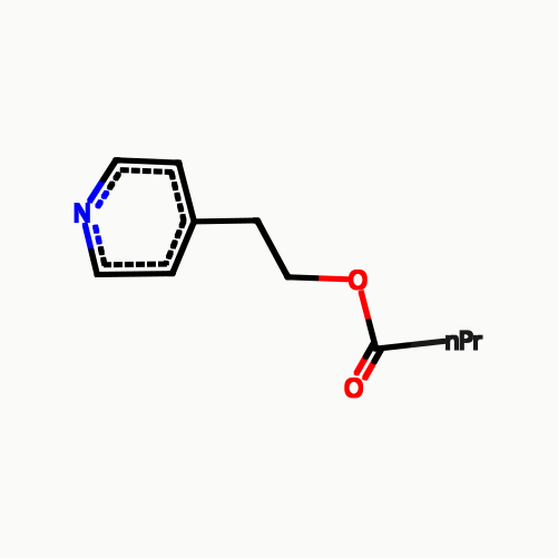 CCCC(=O)OCCc1ccncc1